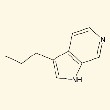 CCCc1c[nH]c2cnccc12